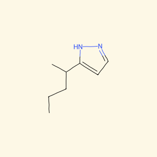 CCCC(C)c1ccn[nH]1